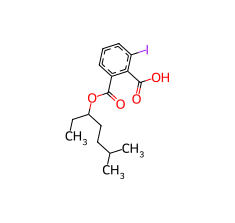 CCC(CCC(C)C)OC(=O)c1cccc(I)c1C(=O)O